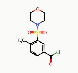 O=C(Cl)c1ccc(C(F)(F)F)c(S(=O)(=O)N2CCOCC2)c1